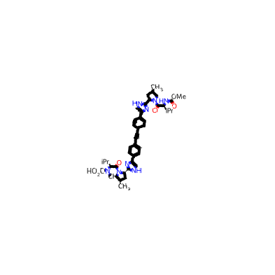 COC(=O)N[C@H](C(=O)N1CC(C)CC1c1nc(-c2ccc(C#Cc3ccc(-c4c[nH]c([C@@H]5C[C@H](C)CN5C(=O)[C@H](C(C)C)N(C)C(=O)O)n4)cc3)cc2)c[nH]1)C(C)C